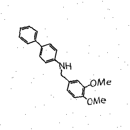 COc1ccc(CNc2ccc(-c3ccccc3)cc2)cc1OC